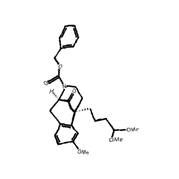 COc1ccc2c(c1)[C@]1(CCCC(OC)OC)CCN(C(=O)OCc3ccccc3)[C@H](C2)C1=O